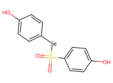 O=S(=O)([Se]c1ccc(O)cc1)c1ccc(O)cc1